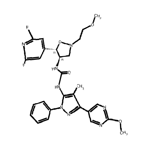 COCCN1C[C@@H](NC(=O)Nc2c(C)c(-c3cnc(OC)nc3)nn2-c2ccccc2)[C@H](c2cc(F)nc(F)c2)O1